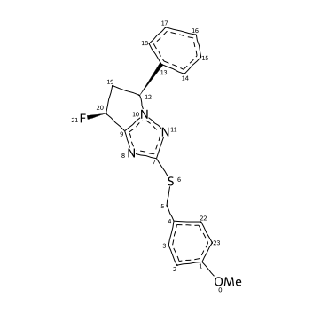 COc1ccc(CSc2nc3n(n2)[C@H](c2ccccc2)C[C@@H]3F)cc1